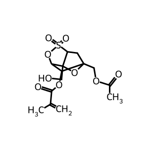 C=C(C)C(=O)OC1C2OS(=O)(=O)C3CC1(COC(C)=O)OC23CO